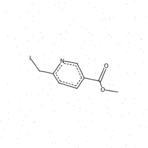 COC(=O)c1ccc(CI)nc1